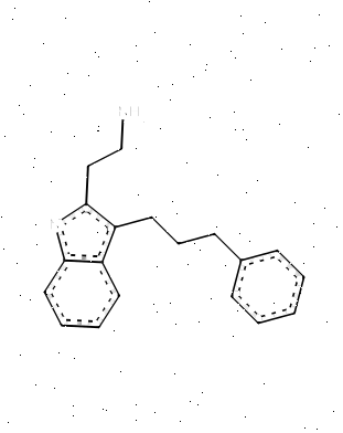 NCCc1[nH]c2ccccc2c1CCCc1ccccc1